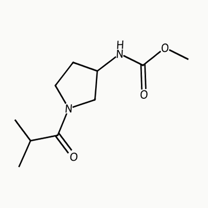 COC(=O)NC1CCN(C(=O)C(C)C)C1